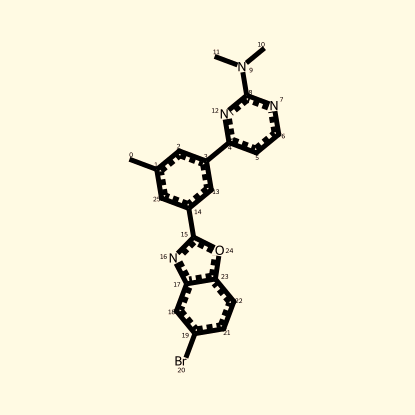 Cc1cc(-c2ccnc(N(C)C)n2)cc(-c2nc3cc(Br)ccc3o2)c1